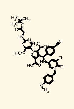 COc1ccc(Cn2cc(NC(c3ccc(C#N)cc3)c3c(C(=O)O)nn(-c4cnc(NCC(=O)OC(C)(C)C)nc4OC)c3C(C)C)cc(Cl)c2=O)cc1